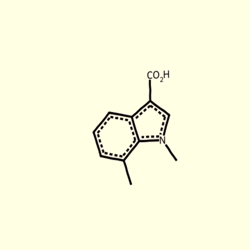 Cc1cccc2c(C(=O)O)cn(C)c12